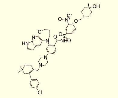 CC1(C)CCC(CN2CCN(c3ccc(C(=O)NS(=O)(=O)c4ccc(OC[C@H]5CC[C@@](C)(O)CC5)c([N+](=O)[O-])c4)c(N4CCCOc5nc6[nH]ccc6cc54)c3)CC2)=C(c2ccc(Cl)cc2)C1